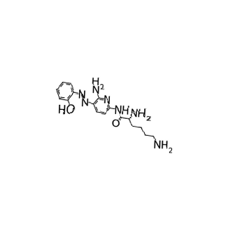 NCCCC[C@H](N)C(=O)Nc1ccc(/N=N/c2ccccc2O)c(N)n1